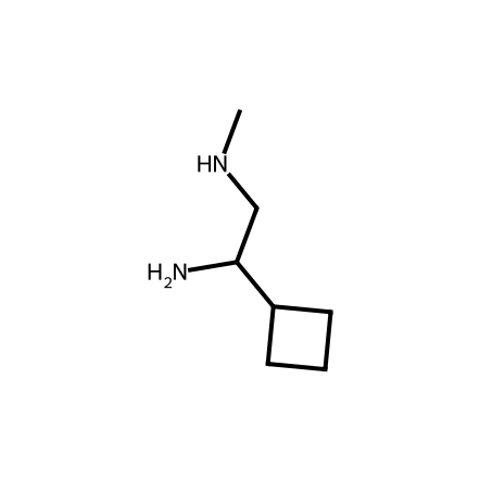 CNCC(N)C1CCC1